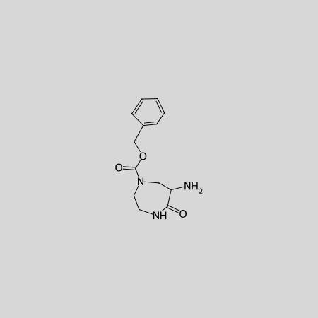 NC1CN(C(=O)OCc2ccccc2)CCNC1=O